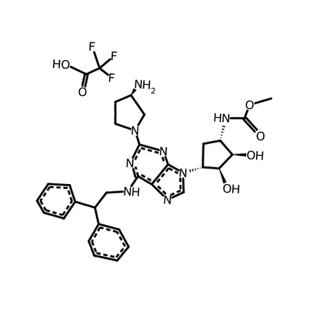 COC(=O)N[C@H]1C[C@@H](n2cnc3c(NCC(c4ccccc4)c4ccccc4)nc(N4CC[C@@H](N)C4)nc32)[C@H](O)[C@@H]1O.O=C(O)C(F)(F)F